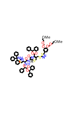 COCCOCOc1ccc(-c2nnc(SCC3=C(C(=O)OC(c4ccccc4)c4ccccc4)N4C(=O)[C@@H](NC(=O)C(=NOC(C(=O)OC(c5ccccc5)c5ccccc5)c5ccccc5)c5csc(NC(c6ccccc6)(c6ccccc6)c6ccccc6)n5)[C@@H]4SC3)s2)cc1OCOCCOC